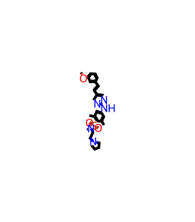 COc1cccc(C=Cc2cnc(Nc3cc(C)c(S(=O)(=O)N(C)CCN4CCCC4)c(C)c3)nc2)c1